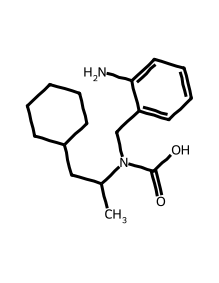 CC(CC1CCCCC1)N(Cc1ccccc1N)C(=O)O